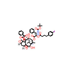 CC(=O)O[C@@]12CO[C@@H]1C[C@@H]1O[C@@]13C(=O)[C@H](O)/C(C(C)C)=C(\C)[C@@H](OC(=O)[C@H](OC(=O)CCCc1ccc(I)cc1)[C@@H](NC(=O)OC(C)(C)C)c1ccccc1)C[C@@](C)(O)[C@@H](OC(=O)c1ccccc1)[C@H]23